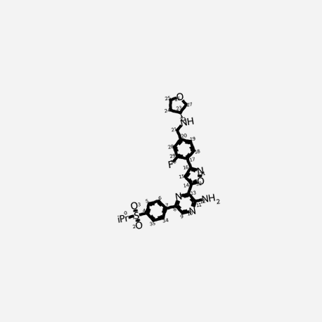 CC(C)S(=O)(=O)c1ccc(-c2cnc(N)c(-c3cc(-c4ccc(CN[C@@H]5CCOC5)cc4F)no3)n2)cc1